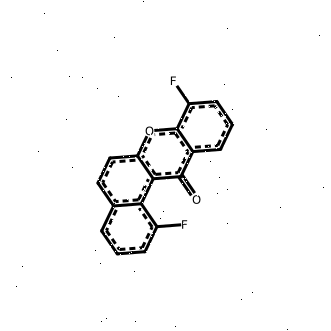 O=c1c2cccc(F)c2oc2ccc3cccc(F)c3c12